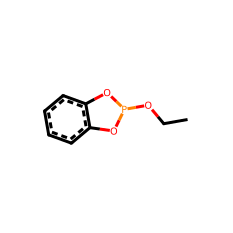 CCOP1Oc2ccccc2O1